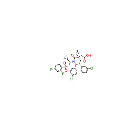 CC1(CC(=O)O)CC(c2cccc(Cl)c2)C(c2ccc(Cl)cc2)N(C(CS(=O)(=O)c2ccc(F)cc2F)C2CC2)C1=O